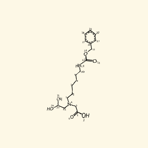 O=C(O)CN(CCCCCCNC(=O)OCc1ccccc1)CC(O)O